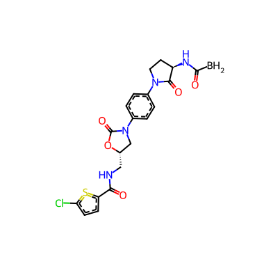 BC(=O)N[C@@H]1CCN(c2ccc(N3C[C@H](CNC(=O)c4ccc(Cl)s4)OC3=O)cc2)C1=O